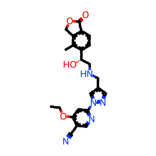 CCOc1cc(-n2cc(CNC[C@H](O)c3ccc4c(c3C)COC4=O)cn2)ncc1C#N